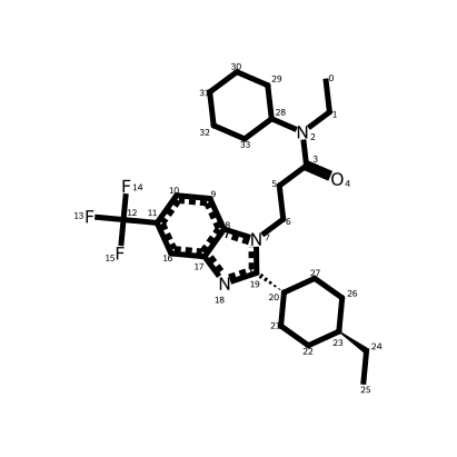 CCN(C(=O)CCn1c2ccc(C(F)(F)F)cc2nc1[C@H]1CC[C@H](CC)CC1)C1CCCCC1